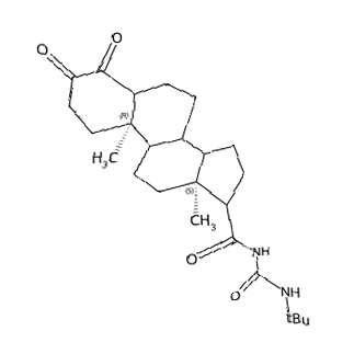 CC(C)(C)NC(=O)NC(=O)C1CCC2C3CCC4C(=O)C(=O)CC[C@]4(C)C3CC[C@]12C